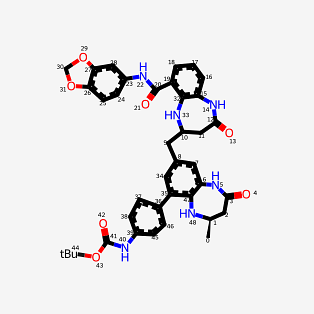 C[C@@H]1CC(=O)Nc2cc(CC3CC(=O)Nc4cccc(C(=O)Nc5ccc6c(c5)OCO6)c4N3)cc(-c3ccc(NC(=O)OC(C)(C)C)cc3)c2N1